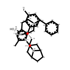 Cc1nc2c(n1C1CC3CCC(C1)N3CC[C@H](NC(=O)O)c1cccc(F)c1)CN(Cc1ccccc1)CC2